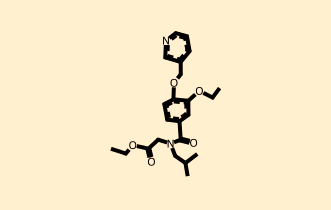 CCOC(=O)CN(CC(C)C)C(=O)c1ccc(OCc2cccnc2)c(OCC)c1